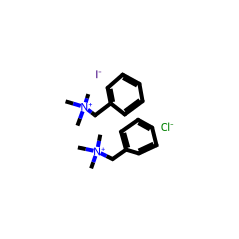 C[N+](C)(C)Cc1ccccc1.C[N+](C)(C)Cc1ccccc1.[Cl-].[I-]